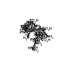 CC[C@H](C)[C@H](NC(=O)[C@H](CCC(N)=O)NC(=O)CNC(=O)[C@H](CC(=O)O)NC(=O)[C@H](CCCCN)NC(=O)[C@H](CO)NC(=O)[C@H](CCC(=O)O)NC(=O)[C@H](CC(C)C)NC(=O)[C@@H](N)CCCNC(=N)N)C(=O)N[C@@H](CCCCN)C(=O)N[C@@H](CC(C)C)C(=O)N[C@@H](CC(=O)O)C(=O)N[C@@H](C)C(=O)N[C@@H](C)C(=O)N[C@@H](CCCCN)C(=O)O